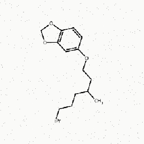 CC(C)CCCC(C)CCOc1ccc2c(c1)OCO2